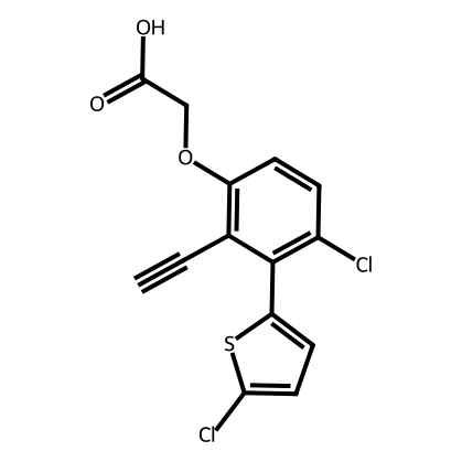 C#Cc1c(OCC(=O)O)ccc(Cl)c1-c1ccc(Cl)s1